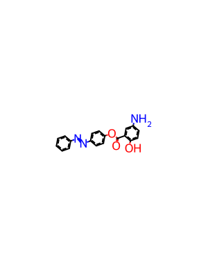 Nc1ccc(O)c(C(=O)Oc2ccc(/N=N/c3ccccc3)cc2)c1